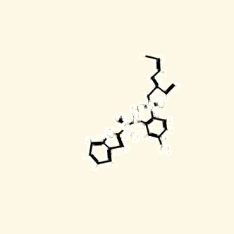 C=C/C(=C\C=C/C)CS(=O)(=O)c1ccc(Cl)cc1NS(=O)(=O)c1cc2ccccc2o1